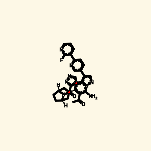 CC(=O)c1c([C@@H]2C[C@H]3CC[C@@H](C2)N3C(=O)c2nnc[nH]2)nc2c(-c3ccc(-c4cccnc4F)nc3)cnn2c1N